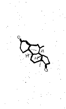 CC1CC2=CC(=O)CC[C@]2(C)[C@@H]2CC[C@]3(C)C(=O)CC[C@H]3[C@H]12